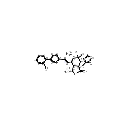 C[C@H]1OC(=O)[C@]2(Cc3ncon3)CC(F)(F)[C@@H](C)[C@H](/C=C/c3ccc(-c4ccccc4Cl)cn3)[C@H]12